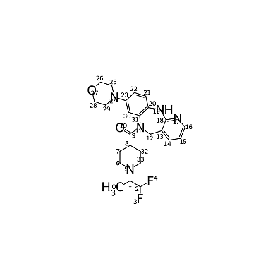 CC(C(F)F)N1CCC(C(=O)N2Cc3cccnc3Nc3ccc(N4CCOCC4)cc32)CC1